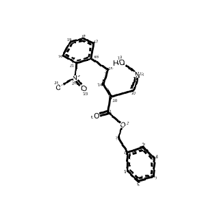 O=C(OCc1ccccc1)C(/C=N\O)CCc1ccccc1[N+](=O)[O-]